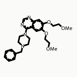 COCCOc1cc2ncnc(N3CCN(Cc4ccccc4)CC3)c2cc1OCCOC